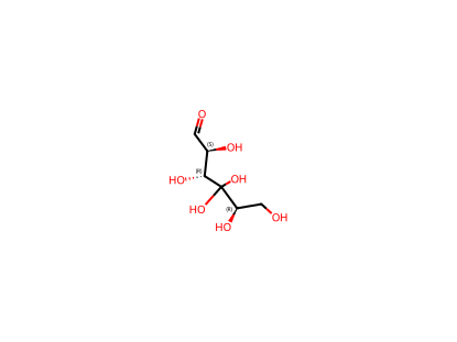 O=C[C@@H](O)[C@@H](O)C(O)(O)[C@H](O)CO